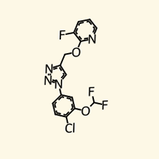 Fc1cccnc1OCc1cn(-c2ccc(Cl)c(OC(F)F)c2)nn1